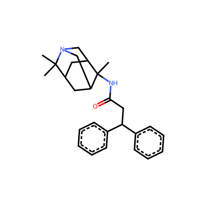 CC1(NC(=O)CC(c2ccccc2)c2ccccc2)C2CC3CC1CN(C2)C3(C)C